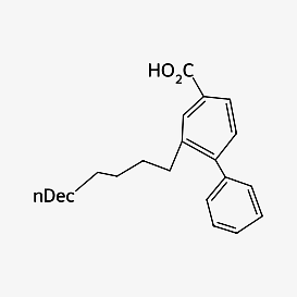 CCCCCCCCCCCCCCc1cc(C(=O)O)ccc1-c1ccccc1